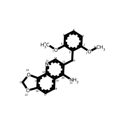 COc1cccc(OC)c1Cc1cnc2c3c(ccc2c1N)OCO3